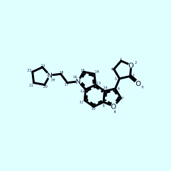 O=C1OCCC1c1coc2ccc3c(ccn3CCN3CCCC3)c12